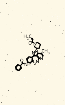 C=CC(=O)N1CCCC(n2nc(-c3ccc(NC(=O)c4ccccc4)cc3)c3c(N)ncc(C)c32)C1